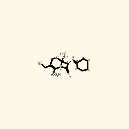 Br.O=C(O)C1=C(CBr)CS[C@@H]2[C@H](N=C3CCCCC3)C(=O)N12